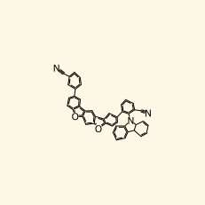 N#Cc1cccc(-c2ccc3oc4cc5oc6ccc(-c7cccc(C#N)c7N7c8ccccc8C8C=CC=CC87)cc6c5cc4c3c2)c1